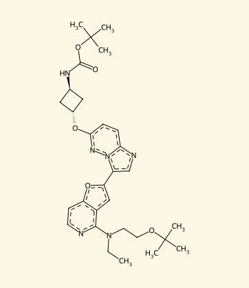 CCN(CCOC(C)(C)C)c1nccc2oc(-c3cnc4ccc(O[C@H]5C[C@H](NC(=O)OC(C)(C)C)C5)nn34)cc12